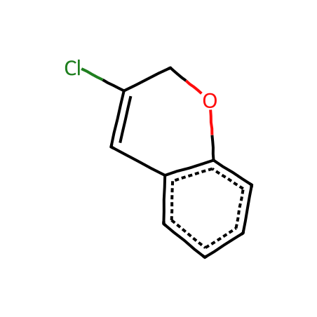 ClC1=Cc2ccccc2OC1